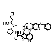 Cc1cc(Oc2ccccc2)ncc1N1C(=O)Nc2c(C(=O)N[C@@H]3CCC[C@@H]3NC(O)CCCl)sc3nccc1c23